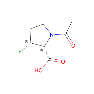 CC(=O)N1CC[C@@H](F)[C@H]1C(=O)O